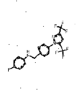 Fc1ccc(NCc2ccc(-n3nc(C(F)(F)F)cc3C(F)(F)F)cc2)cc1